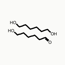 O=CCCCCCO.OCCCCCCO